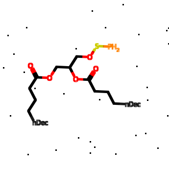 CCCCCCCCCCCCCC(=O)OCC(COSP)OC(=O)CCCCCCCCCCCCC